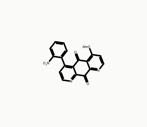 COc1ccnc2c1C(=O)c1c(-c3ccccc3[N+](=O)[O-])ccnc1C2=O